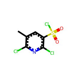 Cc1cc(S(=O)(=O)Cl)c(Cl)nc1Cl